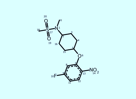 CN(C1CCC(Oc2cc(F)ccc2[N+](=O)[O-])CC1)S(C)(=O)=O